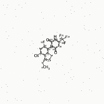 CCN1SCc2c1c(Cl)cc(F)c2-n1c(=O)cc(C(F)(F)F)[nH]c1=O